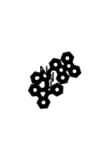 c1ccc2c(c1)-c1ccccc1C21c2ccccc2-c2c(-c3nc(-n4c5ccccc5c5c6ccccc6c6ccccc6c54)c4ccccc4n3)cccc21